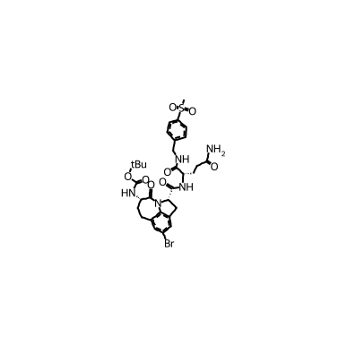 CC(C)(C)OC(=O)N[C@H]1CCc2cc(Br)cc3c2N(C1=O)[C@H](C(=O)N[C@@H](CCC(N)=O)C(=O)NCc1ccc(S(C)(=O)=O)cc1)C3